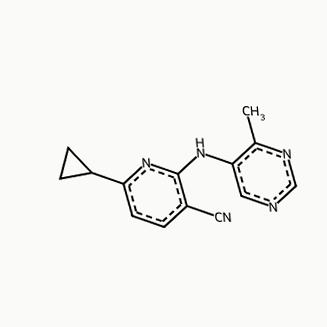 Cc1ncncc1Nc1nc(C2CC2)ccc1C#N